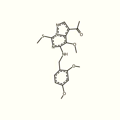 COc1ccc(CNc2nc(SC)n3ncc(C(C)=O)c3c2OC)c(OC)c1